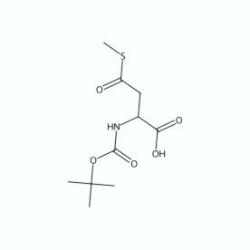 CSC(=O)CC(NC(=O)OC(C)(C)C)C(=O)O